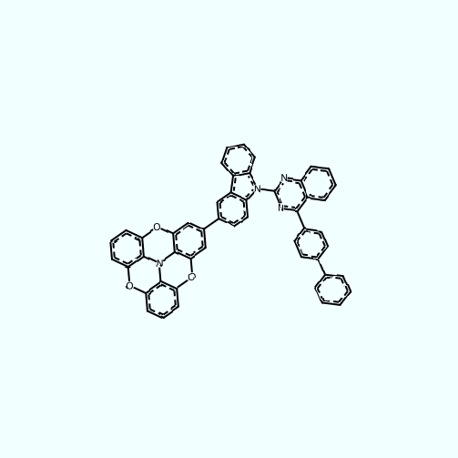 c1ccc(-c2ccc(-c3nc(-n4c5ccccc5c5cc(-c6cc7c8c(c6)Oc6cccc9c6N8c6c(cccc6O7)O9)ccc54)nc4ccccc34)cc2)cc1